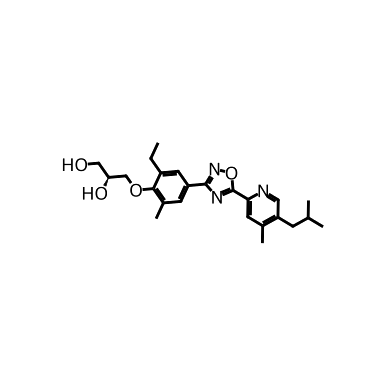 CCc1cc(-c2noc(-c3cc(C)c(CC(C)C)cn3)n2)cc(C)c1OC[C@@H](O)CO